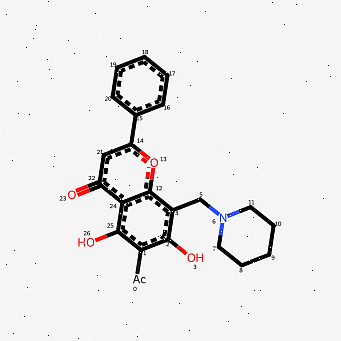 CC(=O)c1c(O)c(CN2CCCCC2)c2oc(-c3ccccc3)cc(=O)c2c1O